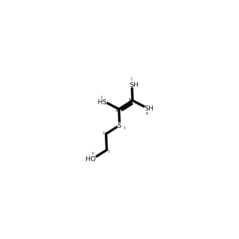 OCCSC(S)=C(S)S